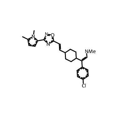 CNC=C(c1ccc(Cl)cc1)C1CCC(C=Cc2nc(-c3ccc(C)n3C)no2)CC1